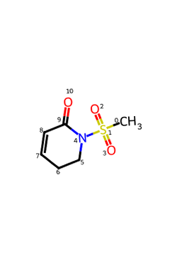 CS(=O)(=O)N1CCC=CC1=O